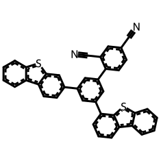 N#Cc1ccc(-c2cc(-c3ccc4c(c3)sc3ccccc34)cc(-c3cccc4c3sc3ccccc34)c2)c(C#N)c1